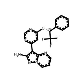 Nc1nn2cccnc2c1-c1cc(O[C@H](c2ccccc2)C(F)(F)F)ncn1